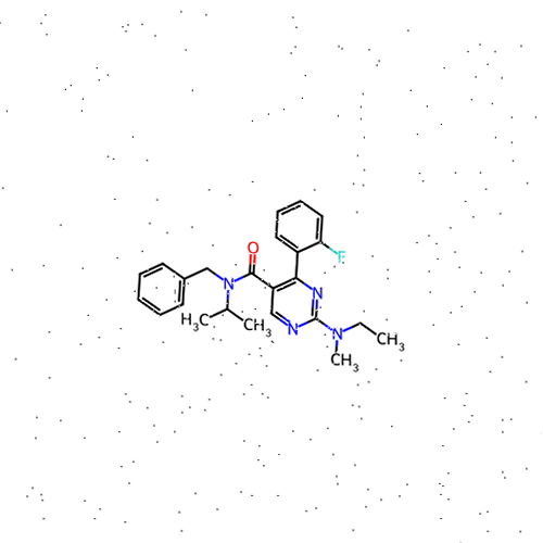 CCN(C)c1ncc(C(=O)N(Cc2ccccc2)C(C)C)c(-c2ccccc2F)n1